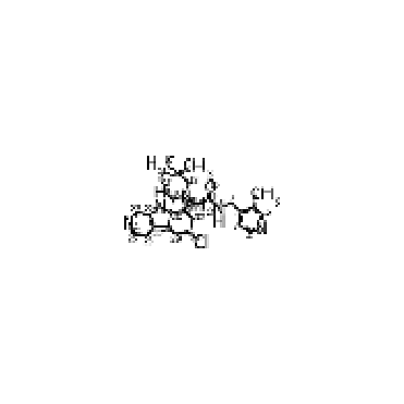 Cc1cnccc1CNC(=O)CN1CC(C)(C)OC[C@H]1C12Nc3cnccc3C1C=C(Cl)C=C2N